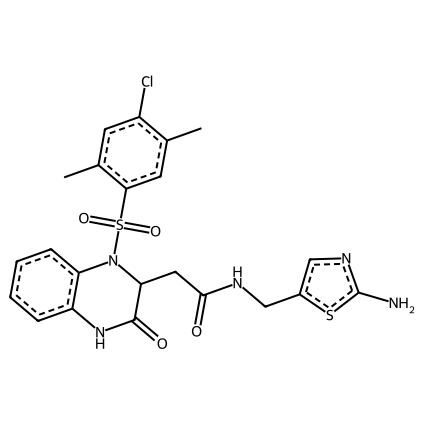 Cc1cc(S(=O)(=O)N2c3ccccc3NC(=O)C2CC(=O)NCc2cnc(N)s2)c(C)cc1Cl